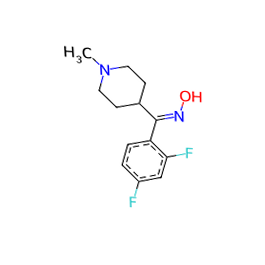 CN1CCC(/C(=N\O)c2ccc(F)cc2F)CC1